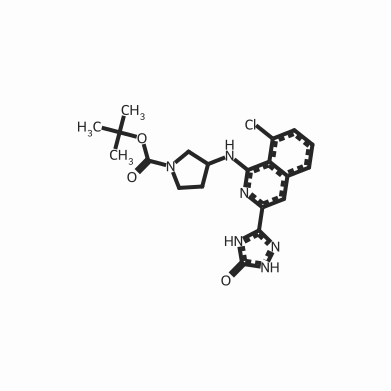 CC(C)(C)OC(=O)N1CCC(Nc2nc(-c3n[nH]c(=O)[nH]3)cc3cccc(Cl)c23)C1